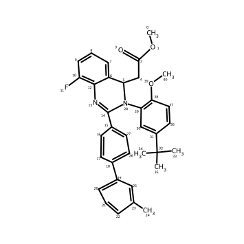 COC(=O)CC1c2cccc(F)c2N=C(c2ccc(-c3cccc(C)c3)cc2)N1c1cc(C(C)(C)C)ccc1OC